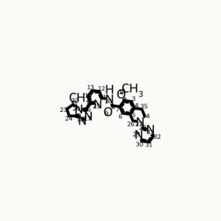 COc1cc2c(cc1C(=O)Nc1cccc(-c3nnc4n3[C@@H](C)CC4)n1)CN(c1ncccn1)CC2